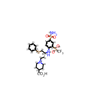 NS(=O)(=O)c1ccc(N[C@H](CCN2CCC(C(=O)O)CC2)CSc2ccccc2)c(S(=O)(=O)C(F)(F)F)c1